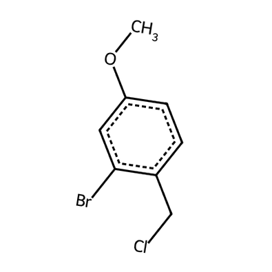 COc1ccc(CCl)c(Br)c1